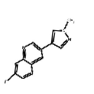 Cn1cc(-c2cnc3cc(F)ccc3c2)cn1